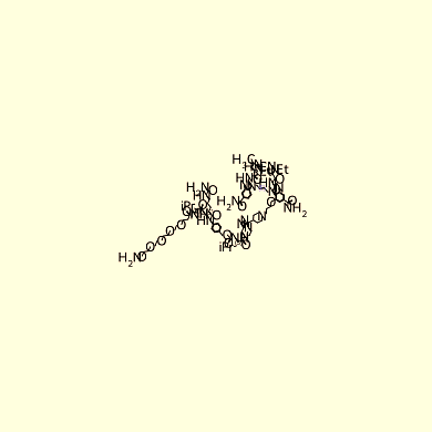 CCn1nc(C)cc1C(=O)Nc1nc2cc(C(N)=O)ccc2n1C/C=C/Cn1c(NC(=O)c2cc(C)nn2CC)nc2cc(C(N)=O)cc(OCCCN3CCC(c4nnc5n4CCN(C(=O)[C@H](CC(C)C)NC(=O)OCc4ccc(NC(=O)[C@H](CCCNC(N)=O)NC(=O)[C@@H](NC(=O)CCOCCOCCOCCOCCON)C(C)C)cc4)C5)CC3)c21